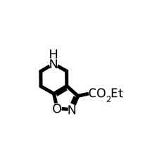 CCOC(=O)c1noc2c1CNCC2